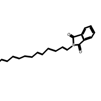 [O]CCCCCCCCCCCCN1C(=O)c2ccccc2C1=O